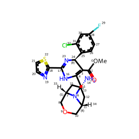 COC(=O)C1=C(CN2[C@@H]3COC[C@H]2C[C@@H](N)C3)NC(c2nccs2)=N[C@H]1c1ccc(F)cc1Cl